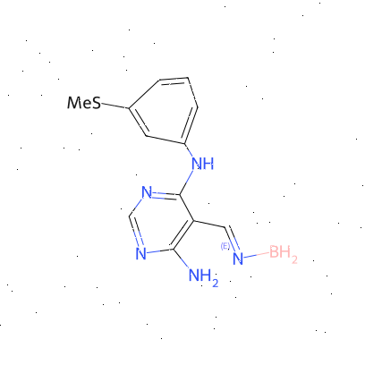 B/N=C/c1c(N)ncnc1Nc1cccc(SC)c1